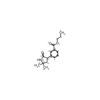 CCCOC(=O)c1cccc(C2CC(C)(C)NC2=O)c1